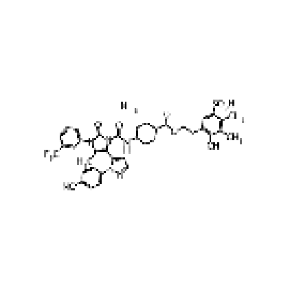 Cc1c(CCOC(=O)C2CCC(NC(=O)n3c(-c4ccnn4-c4ccc(C#N)cc4)c(C)n(-c4cccc(C(F)(F)F)c4)c3=O)CC2)cc(S(=O)(=O)O)c(C)c1C.N